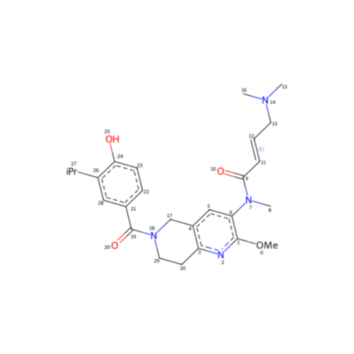 COc1nc2c(cc1N(C)C(=O)/C=C/CN(C)C)CN(C(=O)c1ccc(O)c(C(C)C)c1)CC2